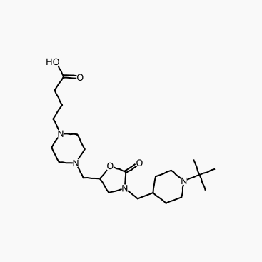 CC(C)(C)N1CCC(CN2CC(CN3CCN(CCCC(=O)O)CC3)OC2=O)CC1